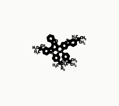 CC(C)(C)c1ccc(N2B3c4cc(C(C)(C)C)ccc4-n4c5ccc(C(C)(C)C)cc5c5c6c(oc7ccccc76)c(c3c54)-c3cc4sc5cc(C(C)(C)C)ccc5c4cc32)cc1